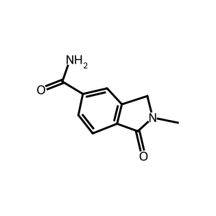 CN1Cc2cc(C(N)=O)ccc2C1=O